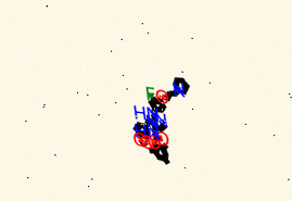 Cc1cc(C)c(OC(=O)NC2C=CN=C(Nc3ccc(OCCCN4CCCCC4)c(F)c3)N2Cc2ccc3c(c2)OCO3)c(C)c1